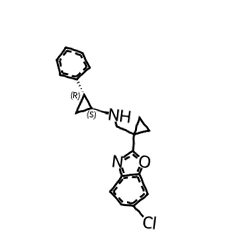 Clc1ccc2nc(C3(CN[C@H]4C[C@@H]4c4ccccc4)CC3)oc2c1